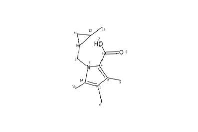 Cc1c(C)c(C(=O)O)n(CC2CC2C)c1C